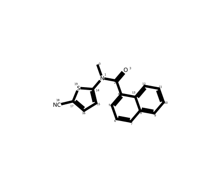 CN(C(=O)c1cccc2c[c]ccc12)c1ccc(C#N)s1